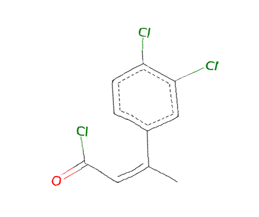 C/C(=C/C(=O)Cl)c1ccc(Cl)c(Cl)c1